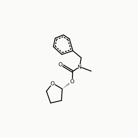 CN(Cc1ccccc1)C(=O)O[C@@H]1CCCO1